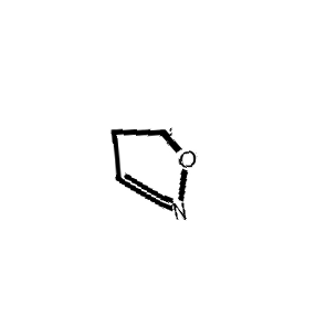 [C]1CC=NO1